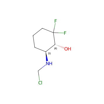 O[C@@H]1[C@@H](NCCl)CCCC1(F)F